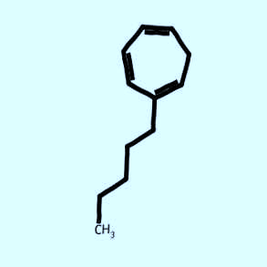 CCCCCC1=CCC=CC=C1